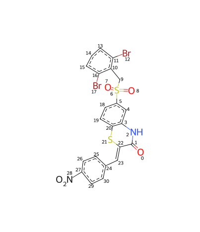 O=C1Nc2cc(S(=O)(=O)Cc3c(Br)cccc3Br)ccc2SC1=Cc1ccc([N+](=O)[O-])cc1